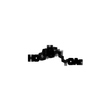 CC(=O)OCC(C)CCC[C@@H](C)[C@H]1CC[C@H]2[C@@H]3CC=C4C[C@@H](O)CC[C@]4(C)[C@H]3CC[C@]12C